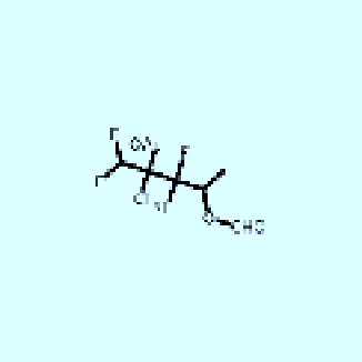 CC(=O)OC(C(F)F)(C(F)(F)F)C(F)(F)C(C)OC=O